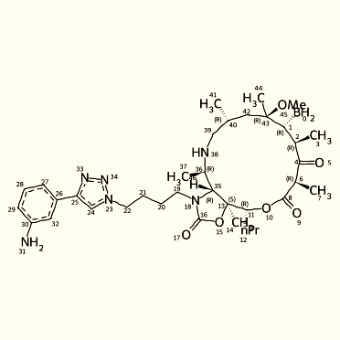 B[C@@H]1[C@@H](C)C(=O)[C@@H](C)C(=O)O[C@H](CCC)[C@@]2(C)OC(=O)N(CCCCn3cc(-c4cccc(N)c4)nn3)[C@@H]2[C@@H](C)NC[C@H](C)C[C@@]1(C)OC